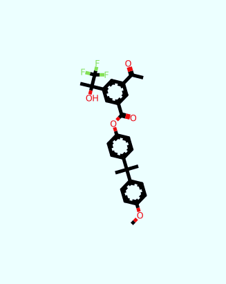 COc1ccc(C(C)(C)c2ccc(OC(=O)c3cc(C(C)=O)cc(C(C)(O)C(F)(F)F)c3)cc2)cc1